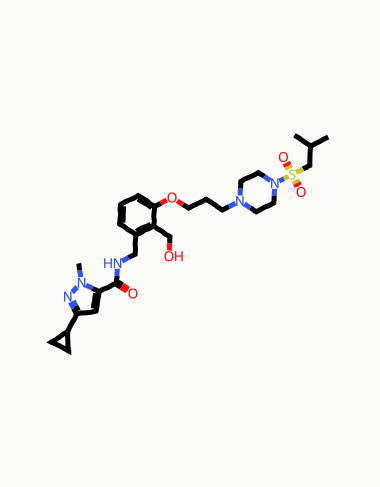 CC(C)CS(=O)(=O)N1CCN(CCCOc2cccc(CNC(=O)c3cc(C4CC4)nn3C)c2CO)CC1